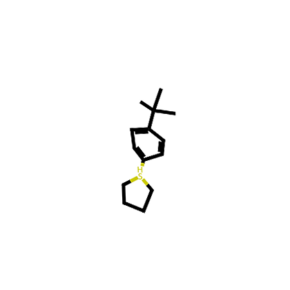 CC(C)(C)c1ccc([SH]2CCCC2)cc1